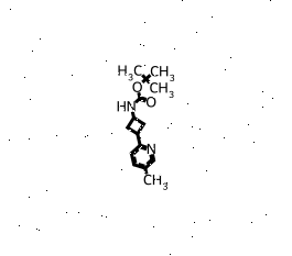 Cc1ccc(C2CC(NC(=O)OC(C)(C)C)C2)nc1